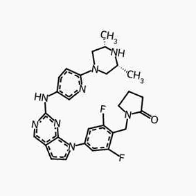 C[C@@H]1CN(c2ccc(Nc3ncc4ccn(-c5cc(F)c(CN6CCCC6=O)c(F)c5)c4n3)cn2)C[C@H](C)N1